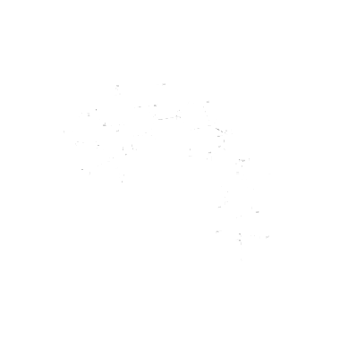 CP(C)(=O)c1ccccc1-c1ccc(N2CC[C@@H](NC(=O)Nc3ccc(C(F)(F)F)cc3F)C2=O)c(F)c1Cl